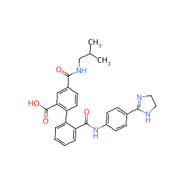 CC(C)CNC(=O)c1ccc(-c2ccccc2C(=O)Nc2ccc(C3=NCCN3)cc2)c(C(=O)O)c1